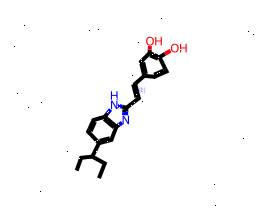 CCC(CC)c1ccc2[nH]c(/C=C/c3ccc(O)c(O)c3)nc2c1